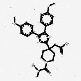 COc1ccc(-c2nc(C3(CC(=O)O)CCN(C(=O)N(C)O)CC3)sc2-c2ccc(OC)cc2)cc1